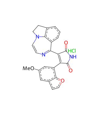 COc1cc(C2=C(C3=NC=CN4CCc5cccc3c54)C(=O)NC2=O)c2occc2c1.Cl